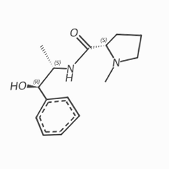 C[C@H](NC(=O)[C@@H]1CCCN1C)[C@H](O)c1ccccc1